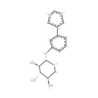 O[C@@H]1[C@@H](O)[C@H](Oc2cccc(-c3cncnc3)c2)SC[C@H]1O